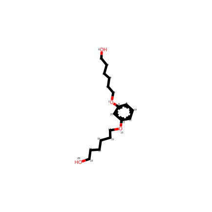 OCCCCCCOc1cccc(OCCCCCCO)c1